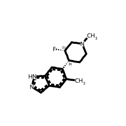 Cc1cc2cn[nH]c2cc1[C@H]1CCN(C)C[C@H]1F